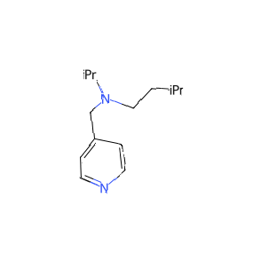 CC(C)CCN(Cc1ccncc1)C(C)C